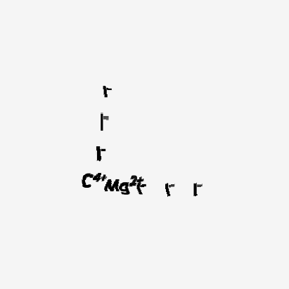 [C+4].[I-].[I-].[I-].[I-].[I-].[I-].[Mg+2]